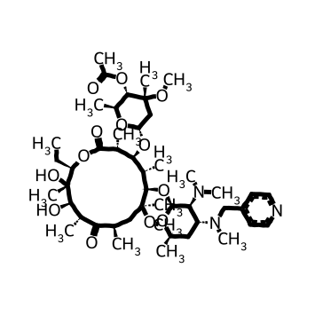 CC[C@H]1OC(=O)[C@H](C)[C@@H](O[C@H]2C[C@@](C)(OC)[C@@H](OC(C)=O)[C@H](C)O2)[C@H](C)[C@@H](O[C@@H]2O[C@H](C)C[C@@H](N(C)Cc3ccncc3)[C@@H]2N(C)C)[C@@](C)(OC)C[C@@H](C)C(=O)[C@H](C)[C@@H](O)[C@]1(C)O